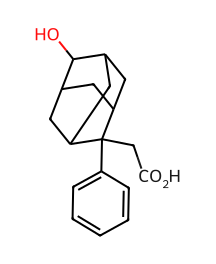 O=C(O)CC1(c2ccccc2)C2CC3CC1CC(C2)C3O